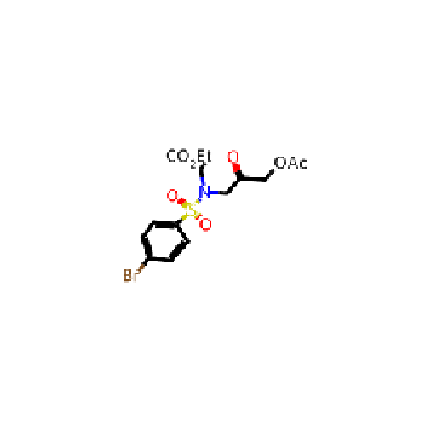 CCOC(=O)CN(CC(=O)COC(C)=O)S(=O)(=O)c1ccc(Br)cc1